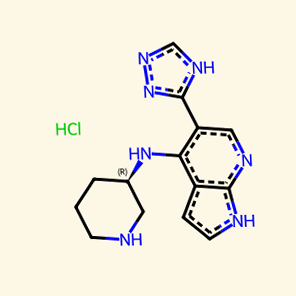 Cl.c1nnc(-c2cnc3[nH]ccc3c2N[C@@H]2CCCNC2)[nH]1